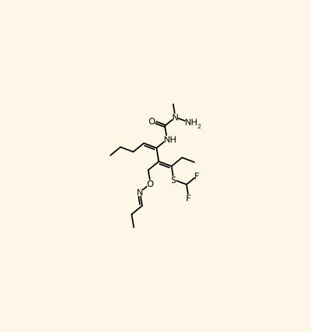 CCC=NOCC(=C(/CC)SC(F)F)/C(=C\CCC)NC(=O)N(C)N